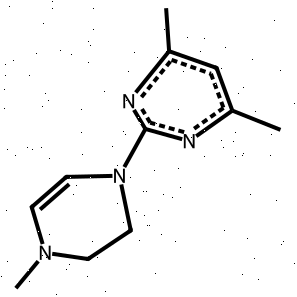 Cc1cc(C)nc(N2C=CN(C)CC2)n1